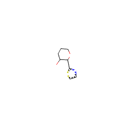 OC1CCCOC1c1nccs1